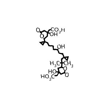 CC(C)(CC1(CCC(O)CCCCC2(C3CC(O)(CC(=O)O)CC(=O)O3)CC2)CC1)C1CC(O)(CC(=O)O)CC(=O)O1